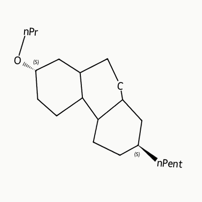 CCCCC[C@H]1CCC2C(CCC3C[C@@H](OCCC)CCC32)C1